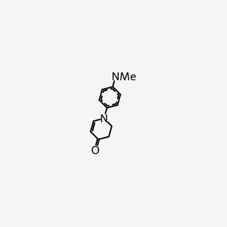 CNc1ccc(N2C=CC(=O)CC2)cc1